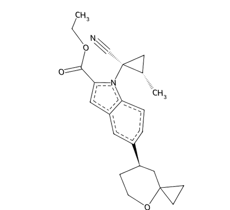 CCOC(=O)c1cc2cc([C@@H]3CCOC4(CC4)C3)ccc2n1[C@@]1(C#N)C[C@@H]1C